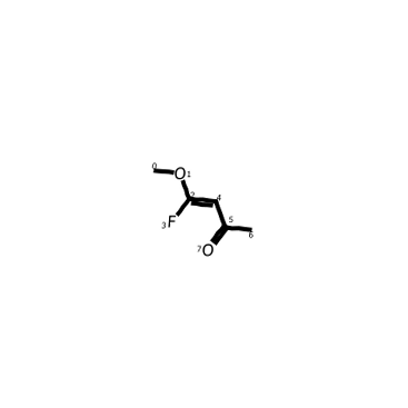 COC(F)=CC(C)=O